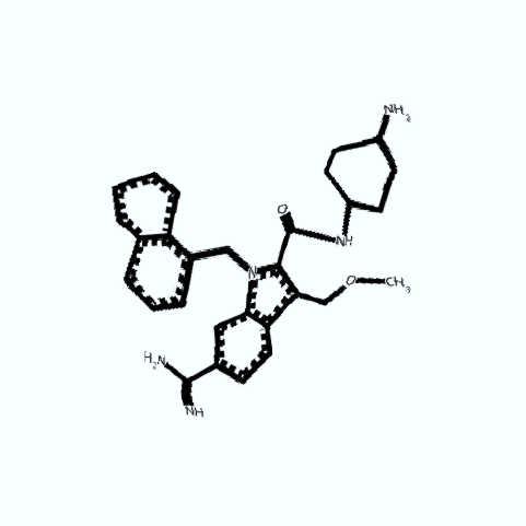 COCc1c(C(=O)NC2CCC(N)CC2)n(Cc2cccc3ccccc23)c2cc(C(=N)N)ccc12